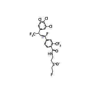 O=C(NCC[S+]([O-])CCF)c1ccc(/C(F)=C/C(c2cc(Cl)c(Cl)c(Cl)c2)C(F)(F)F)cc1C(F)(F)F